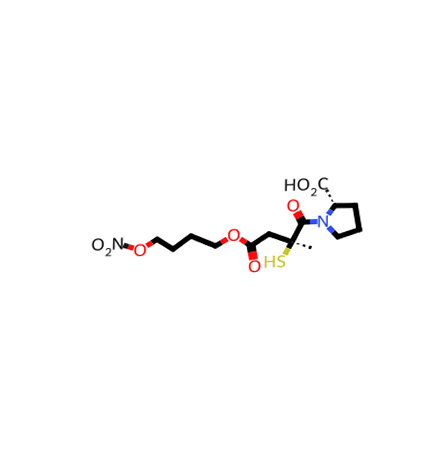 C[C@](S)(CC(=O)OCCCCO[N+](=O)[O-])C(=O)N1CCC[C@H]1C(=O)O